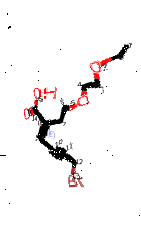 CCOCCOCC/C(=C\C#CCBr)C(=O)O